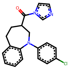 O=C(C1CCc2ccccc2N(c2ccc(Cl)cc2)C1)n1ccnc1